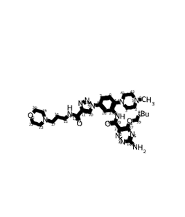 CN1CCN(c2ccc(-n3cc(C(=O)NCCCN4CCOCC4)nn3)cc2NC(=O)c2nnc(N)nc2OCC(C)(C)C)CC1